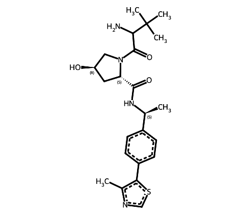 Cc1ncsc1-c1ccc([C@H](C)NC(=O)[C@@H]2C[C@@H](O)CN2C(=O)C(N)C(C)(C)C)cc1